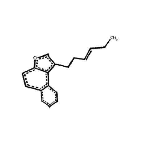 [CH2]CC=CCCc1coc2ccc3ccccc3c12